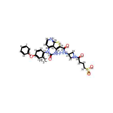 Cc1cc(Oc2ccccc2)ccc1N1C(=O)Nc2c(C(=O)NC3CN(C(=O)CCC[SH](=O)=O)C3)sc3nccc1c23